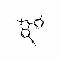 Cc1ccnc(C2=CC(C)(C)Oc3ccc(C#N)cc32)c1